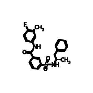 Cc1cc(NC(=O)c2cccc(S(=O)(=O)N[C@H](C)Cc3ccccc3)c2)ccc1F